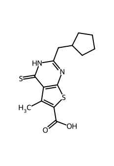 Cc1c(C(=O)O)sc2nc(CC3CCCC3)[nH]c(=S)c12